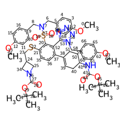 COc1ccc(CN(Cc2ccc(OC)cc2)S(=O)(=O)c2c(SCC3CN(C(=O)OC(C)(C)C)C3)ccc(C3=CCC(NC(=O)OC(C)(C)C)CC3)c2-c2nnnn2Cc2ccc(OC)cc2)cc1